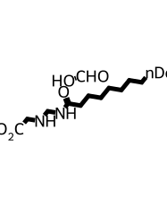 CCCCCCCCCCCCCCCCCC(=O)NCNCC(=O)O.O=CO